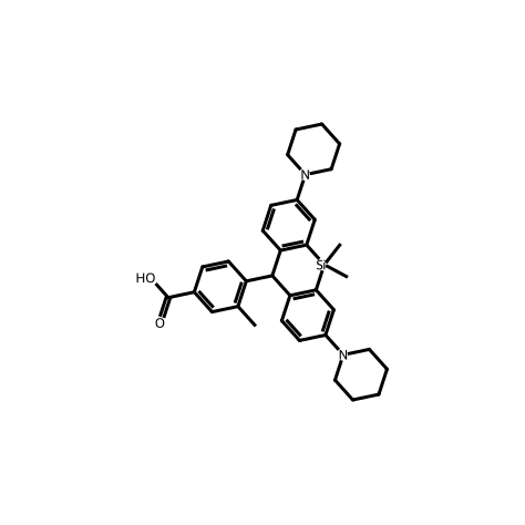 Cc1cc(C(=O)O)ccc1C1c2ccc(N3CCCCC3)cc2[Si](C)(C)c2cc(N3CCCCC3)ccc21